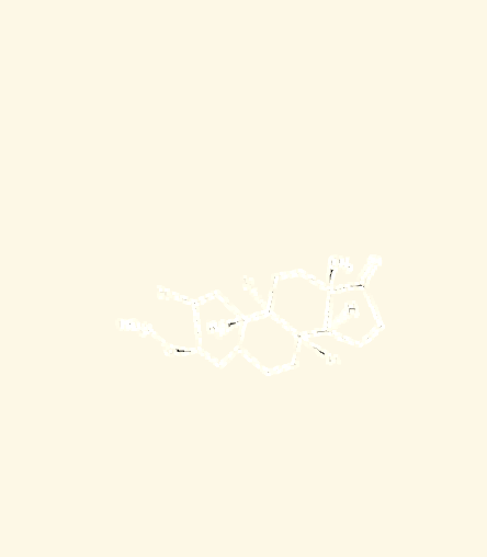 C[C@]12CC(Br)[C@H](OS(=O)(=O)O)CC1CC[C@@H]1[C@@H]2CC[C@]2(C)C(=O)CC[C@@H]12